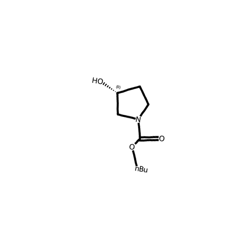 CCCCOC(=O)N1CC[C@@H](O)C1